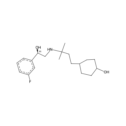 CC(C)(CCC1CCC(O)CC1)NC[C@H](O)c1cccc(F)c1